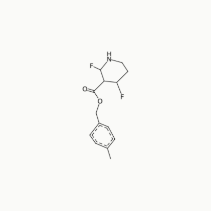 Cc1ccc(COC(=O)C2C(F)CCNC2F)cc1